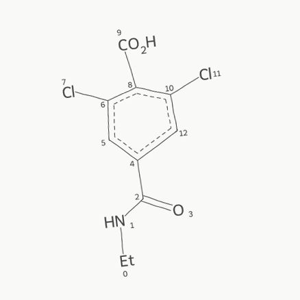 CCNC(=O)c1cc(Cl)c(C(=O)O)c(Cl)c1